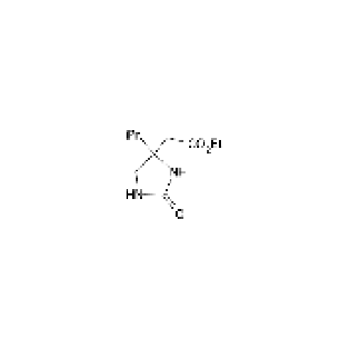 CCOC(=O)CC1(C(C)C)CNC(=O)N1